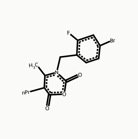 CCCc1c(C)n(Cc2ccc(Br)cc2F)c(=O)oc1=O